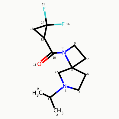 CC(C)N1CCC2(CCN2C(=O)C2CC2(F)F)C1